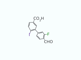 O=Cc1ccc(-c2cc(C(=O)O)ccc2I)cc1F